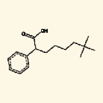 CC(C)(C)CCCCC(C(=O)O)c1ccccc1